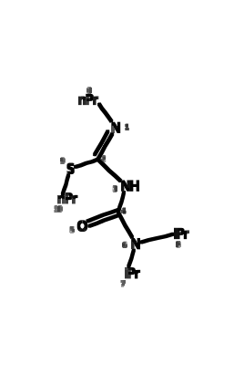 CCCN=C(NC(=O)N(C(C)C)C(C)C)SCCC